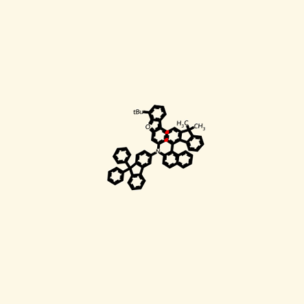 CC(C)(C)c1cccc2c1oc1cc(N(c3ccc4c(c3)-c3ccccc3C4(c3ccccc3)c3ccccc3)c3ccc4ccccc4c3-c3cccc4c3-c3ccccc3C4(C)C)ccc12